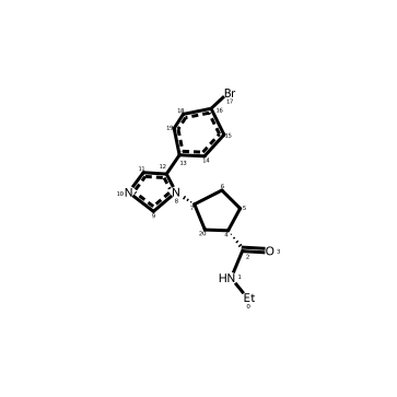 CCNC(=O)[C@H]1CC[C@@H](n2cncc2-c2ccc(Br)cc2)C1